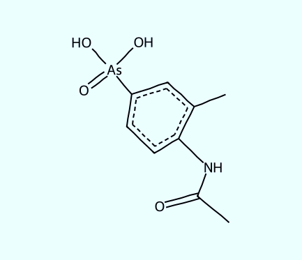 CC(=O)Nc1ccc([As](=O)(O)O)cc1C